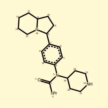 CCCC(=O)N(c1ccc(C2CCC3CCCCN32)cc1)C1CCNCC1